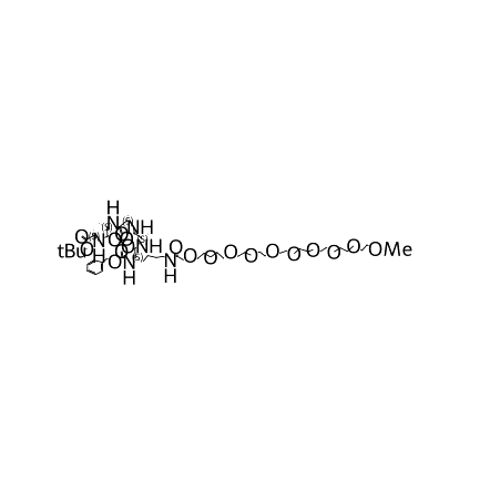 COCCOCCOCCOCCOCCOCCOCCOCCOCCOCC(=O)NCCCC[C@H](NC(=O)OCc1ccccc1)C(=O)N[C@@H](C)C(=O)N[C@@H](C)C(=O)N[C@@H](C)C(=O)N[C@@H](C)C(=O)OC(C)(C)C